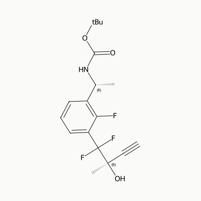 C#C[C@@](C)(O)C(F)(F)c1cccc([C@@H](C)NC(=O)OC(C)(C)C)c1F